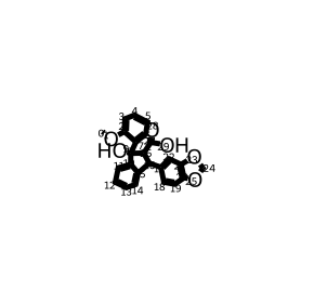 COc1ccccc1C1(O)c2ccccc2C(c2ccc3c(c2)OCO3)C1C(=O)O